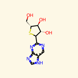 OC[C@H]1SC(c2ncc3[nH]cnc3n2)[C@@H](O)[C@@H]1O